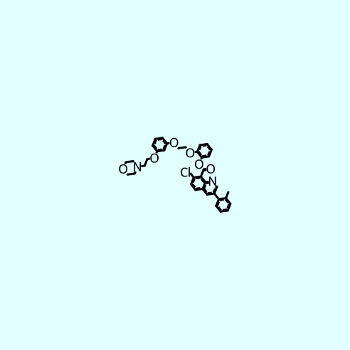 Cc1ccccc1-c1cnc2c(C(=O)Oc3ccccc3OCCOc3cccc(OCCN4CCOCC4)c3)c(Cl)ccc2c1